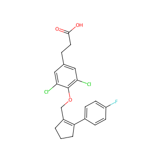 O=C(O)CCc1cc(Cl)c(OCC2=C(c3ccc(F)cc3)CCC2)c(Cl)c1